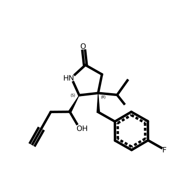 C#CCC(O)[C@H]1NC(=O)C[C@]1(Cc1ccc(F)cc1)C(C)C